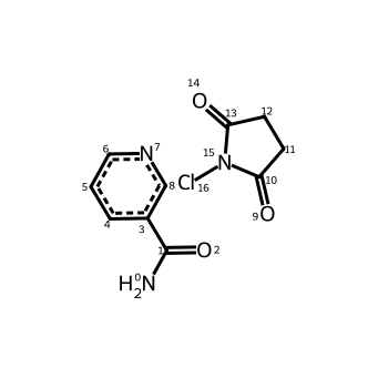 NC(=O)c1cccnc1.O=C1CCC(=O)N1Cl